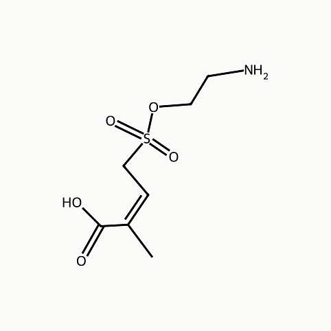 CC(=CCS(=O)(=O)OCCN)C(=O)O